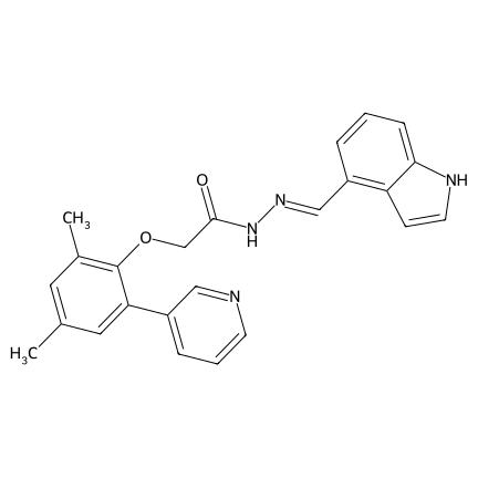 Cc1cc(C)c(OCC(=O)NN=Cc2cccc3[nH]ccc23)c(-c2cccnc2)c1